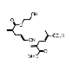 C=C(CC=C(C)C(=O)O)C(=O)OC.C=C(CC=CC#N)C(=O)OCCO